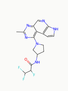 Cc1nc(N2CCC(NC(=O)C(F)C(F)F)C2)c2c(cnc3[nH]ccc32)n1